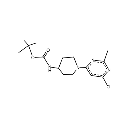 Cc1nc(Cl)cc(N2CCC(NC(=O)OC(C)(C)C)CC2)n1